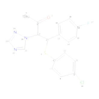 CC(C)(C)C(=O)C(C(Sc1ccc(Cl)cc1)c1ccc(F)cc1)n1cncn1